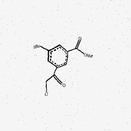 COC(=O)c1cc(C(=O)CCl)cc(C(C)(C)C)c1